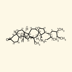 CC[C@H](C)CN(C(C)C)[C@@H]1CO[C@]2(CC[C@@H]3C(=C(C)C2)C[C@H]2[C@H]3CC[C@@H]3CC(=O)CC[C@@]32C)[C@@H]1C